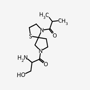 CC(C)C(=O)N1CCSC12CCN(C(=O)C(N)CO)C2